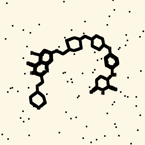 O=C1CCC(Nc2ccc(OC3CCC(CN4CCC(COc5cc(F)c6c(=O)[nH]c(CSC7CCOCC7)nc6c5)CC4)CC3)cc2)C(=O)N1